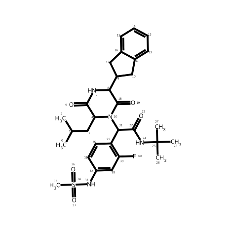 CC(C)CC1C(=O)NC(C2Cc3ccccc3C2)C(=O)N1C(C(=O)NC(C)(C)C)c1ccc(NS(C)(=O)=O)cc1F